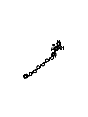 Fc1c(-c2ccc(OCCOCCOCCOCCOCCOCc3ccccc3)nc2)cc2[nH]c3ccncc3c2c1F